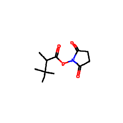 CC(C(=O)ON1C(=O)CCC1=O)C(C)(C)C